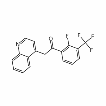 O=C(Cc1ccnc2ccccc12)c1cccc(C(F)(F)F)c1F